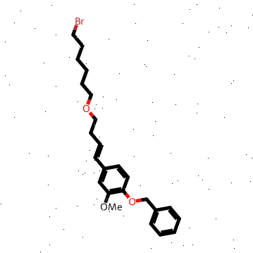 COc1cc(/C=C/CCOCCCCCCBr)ccc1OCc1ccccc1